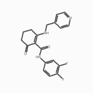 O=C1CCCC(NCc2ccncc2)=C1C(=S)Nc1ccc(F)c(F)c1